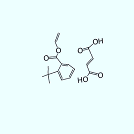 C=COC(=O)c1ccccc1C(C)(C)C.O=C(O)/C=C/C(=O)O